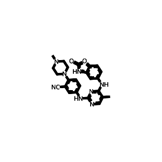 Cc1cnc(Nc2ccc(N3CCN(C)CC3)c(C#N)c2)nc1Nc1ccc2oc(=O)[nH]c2c1